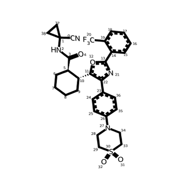 N#CC1(NC(=O)[C@@H]2CCCC[C@H]2c2oc(-c3ccccc3C(F)(F)F)nc2-c2ccc(N3CCS(=O)(=O)CC3)cc2)CC1